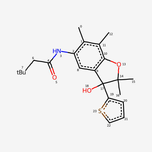 Cc1c(NC(=O)CC(C)(C)C)cc2c(c1C)OC(C)(C)C2(O)c1cccs1